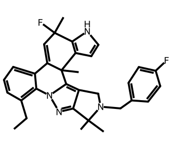 CCc1cccc2c1-n1nc3c(c1C1(C)C2=CC(C)(F)c2[nH]ccc21)CN(Cc1ccc(F)cc1)C3(C)C